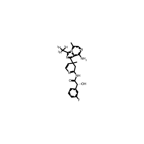 [2H]C([2H])([2H])c1nc(C2(C)C=CN=C(NC(=O)[C@H](O)c3cccc(F)c3)C2)c2c(N)ncc(C)n12